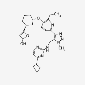 CCc1nc(-c2nnn(C)c2CNc2nccc(C3CCC3)n2)ccc1O[C@H]1CCC[C@H](C2=CC(O)O2)C1